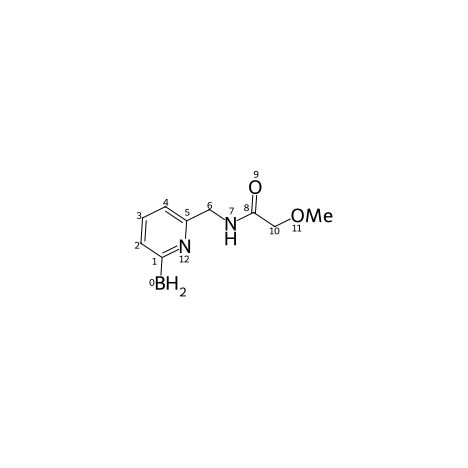 Bc1cccc(CNC(=O)COC)n1